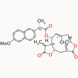 C=C1C(=O)OC2CC3=C[C@@H](C/C(C)=C/C(OC(=O)[C@@H](C)c4ccc5cc(OC)ccc5c4)[C@H]12)OC3=O